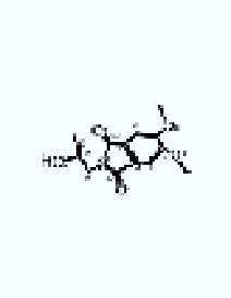 COc1cc2c(cc1OC)C(=O)N(CC(=O)O)C2=O